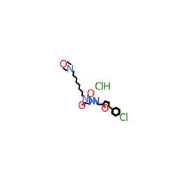 Cl.O=C1CN(N=Cc2ccc(-c3ccc(Cl)cc3)o2)C(=O)N1CCCCCCCCN1CCOCC1